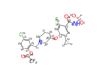 CS(=O)(=O)NC(=O)c1cc(C2CC2)c(O[C@@H]2CCCN(Cc3cc(Cl)ccc3OC(=O)C(F)(F)F)C2)cc1F